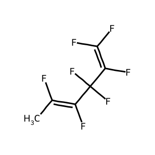 CC(F)=C(F)C(F)(F)C(F)=C(F)F